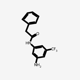 Nc1cc(NC(=O)Cc2ccccc2)cc(C(F)(F)F)c1